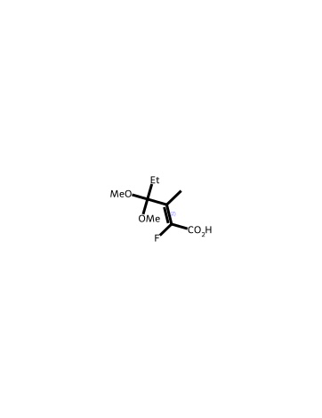 CCC(OC)(OC)/C(C)=C(\F)C(=O)O